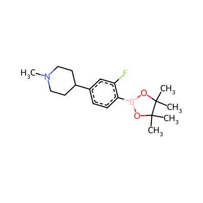 CN1CCC(c2ccc(B3OC(C)(C)C(C)(C)O3)c(F)c2)CC1